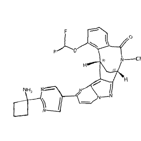 CN1C(=O)c2cccc(OC(F)F)c2[C@@H]2C[C@H]1c1nn3ccc(-c4cnc(C5(N)CCC5)nc4)nc3c12